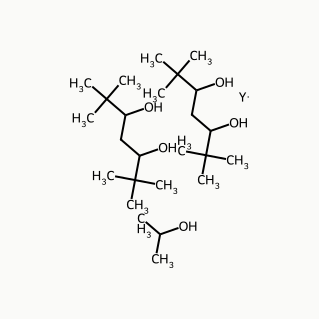 CC(C)(C)C(O)CC(O)C(C)(C)C.CC(C)(C)C(O)CC(O)C(C)(C)C.CC(C)O.[Y]